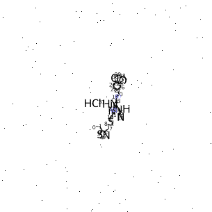 CCc1scnc1CCSCC/N=C(\NC#N)NC/C=C/c1ccc2c(c1)OCCO2.Cl